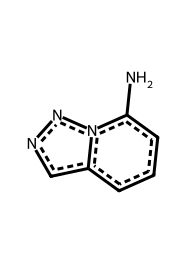 Nc1cccc2cnnn12